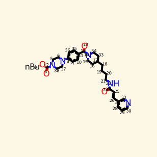 CCCCOC(=O)N1CCN(c2ccc(C(=O)N3CCC(CCCCNC(=O)/C=C/c4cccnc4)CC3)cc2)CC1